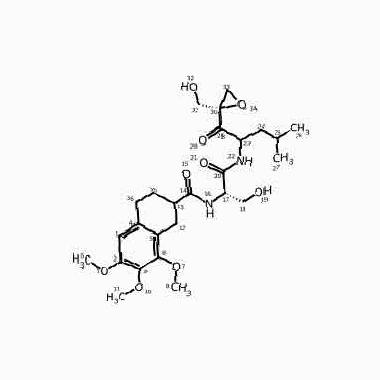 COc1cc2c(c(OC)c1OC)CC(C(=O)N[C@@H](CO)C(=O)NC(CC(C)C)C(=O)[C@@]1(CO)CO1)CC2